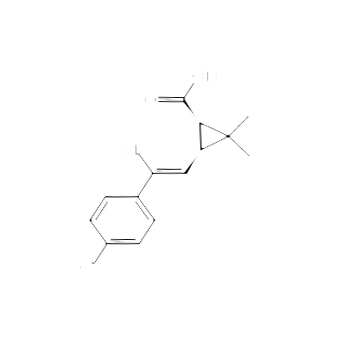 CC1(C)[C@H](C(=O)O)[C@@H]1/C=C(\Cl)c1ccc(Cl)cc1